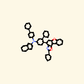 c1ccc(-c2ccc(N(c3ccc(-c4cc5oc6ccccc6c5c5oc(-c6ccccc6)nc45)c(-c4ccccc4)c3)c3ccc4ccccc4c3)cc2)cc1